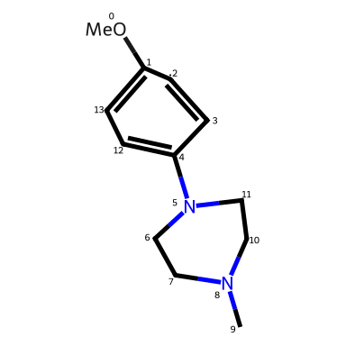 COc1[c]cc(N2CCN(C)CC2)cc1